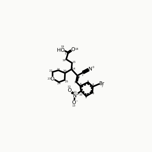 N#CC(=Cc1cc(Br)ccc1[N+](=O)[O-])C(CCC(=O)O)C1CCOCC1